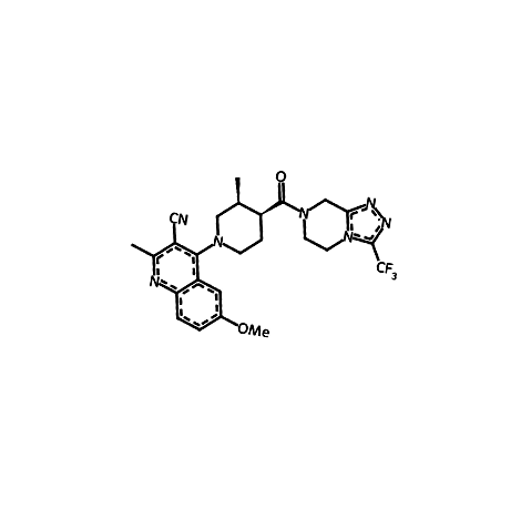 COc1ccc2nc(C)c(C#N)c(N3CC[C@H](C(=O)N4CCn5c(nnc5C(F)(F)F)C4)[C@H](C)C3)c2c1